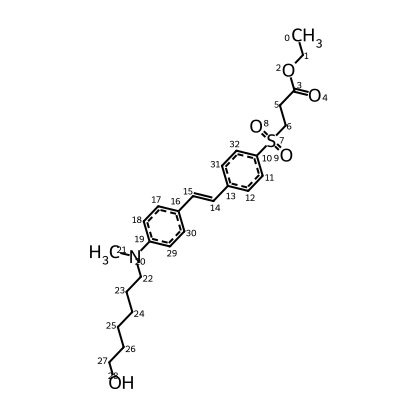 CCOC(=O)CCS(=O)(=O)c1ccc(/C=C/c2ccc(N(C)CCCCCCO)cc2)cc1